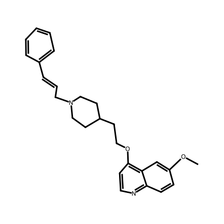 COc1ccc2nccc(OCCC3CCN(C/C=C/c4ccccc4)CC3)c2c1